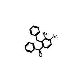 CC(=O)c1ccc(C(=O)c2ccccc2)c(Cc2ccccc2)c1C(C)=O